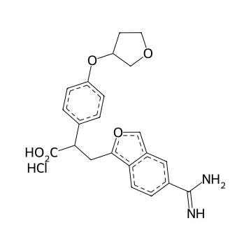 Cl.N=C(N)c1ccc2c(CC(C(=O)O)c3ccc(OC4CCOC4)cc3)occ2c1